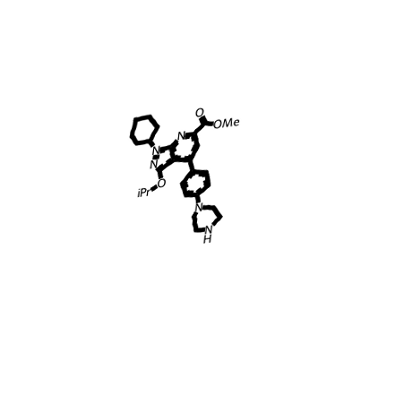 COC(=O)c1cc(-c2ccc(N3CCNCC3)cc2)c2c(OC(C)C)nn(C3CCCCC3)c2n1